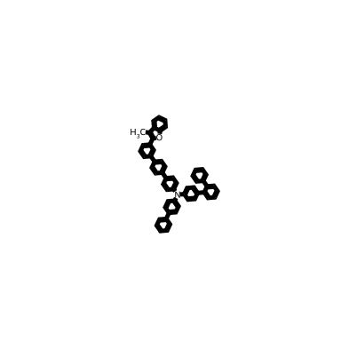 Cc1c(-c2cccc(-c3ccc(-c4ccc(N(c5ccc(-c6ccccc6)cc5)c5ccc(-c6ccccc6-c6ccccc6)cc5)cc4)cc3)c2)oc2ccccc12